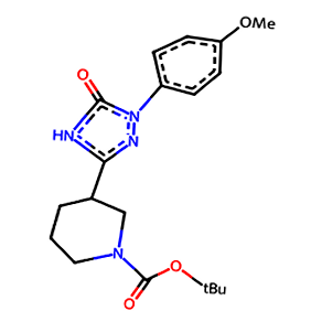 COc1ccc(-n2nc(C3CCCN(C(=O)OC(C)(C)C)C3)[nH]c2=O)cc1